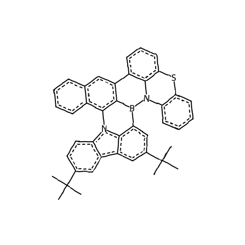 CC(C)(C)c1ccc2c(c1)c1cc(C(C)(C)C)cc3c1n2-c1c2c(cc4ccccc14)-c1cccc4c1N(B23)c1ccccc1S4